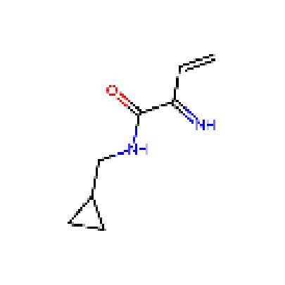 C=CC(=N)C(=O)NCC1CC1